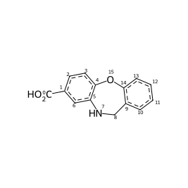 O=C(O)c1ccc2c(c1)NCc1ccccc1O2